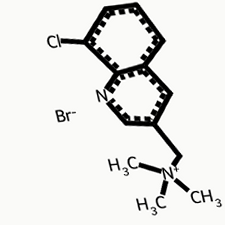 C[N+](C)(C)Cc1cnc2c(Cl)cccc2c1.[Br-]